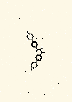 CC(C(=O)C(C)c1ccc(N2CCN(C)CC2)cc1)c1ccc(N2CCN(C)CC2)cc1